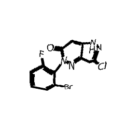 O=c1cc2[nH]nc(Cl)c2nn1-c1c(F)cccc1Br